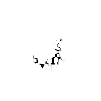 CNC(=O)c1cc(C)c(-c2cc3cc(NC(=O)[C@@H]4C[C@H]4c4cnn(C)c4)ncc3c(N)n2)cn1